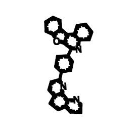 c1cnc2c(c1)ccc1ccc(-c3ccc(-c4nc5ccccc5c5c4oc4ccccc45)cc3)nc12